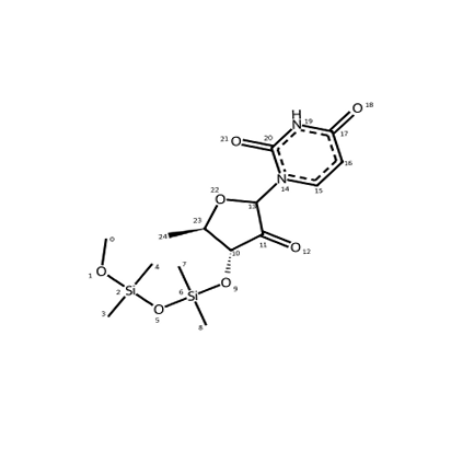 CO[Si](C)(C)O[Si](C)(C)O[C@H]1C(=O)C(n2ccc(=O)[nH]c2=O)O[C@@H]1C